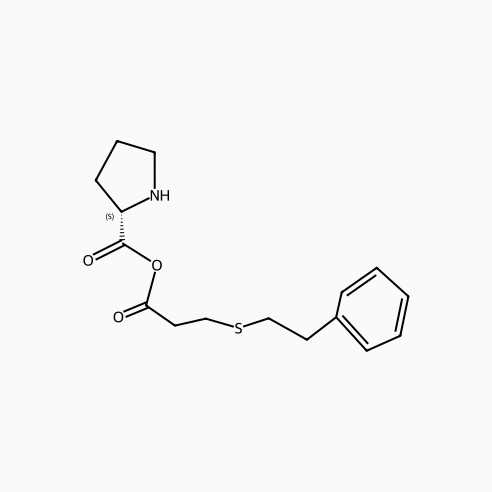 O=C(CCSCCc1ccccc1)OC(=O)[C@@H]1CCCN1